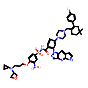 CC1(C)CCC(CN2CCN(c3ccc(C(=O)NS(=O)(=O)c4ccc(OCCCN(C5CC5)C5COC5)c([N+](=O)[O-])c4)c(-n4ncc5nc6[nH]ccc6cc54)c3)CC2)=C(c2ccc(Cl)cc2)C1